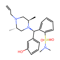 C=CCN1C[C@@H](C)N([C@H](c2cccc(O)c2)c2ccccc2S(=O)(=O)N(C)C)C[C@@H]1C